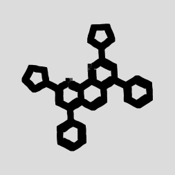 c1ccc(-c2cc(C3CCCC3)nc3c2ccc2c(-c4ccccc4)cc(C4CCCC4)nc23)cc1